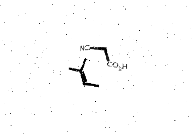 CC=C(C)C.N#CCC(=O)O